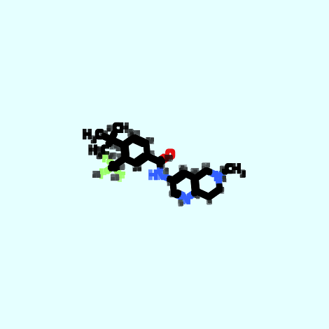 CN1CCc2ncc(NC(=O)c3ccc(C(C)(C)C)c(C(F)(F)F)c3)cc2C1